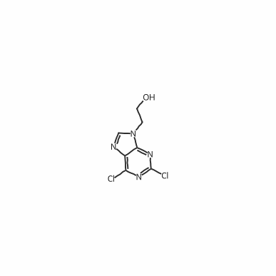 OCCn1cnc2c(Cl)nc(Cl)nc21